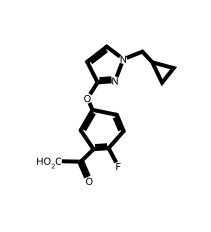 O=C(O)C(=O)c1cc(Oc2ccn(CC3CC3)n2)ccc1F